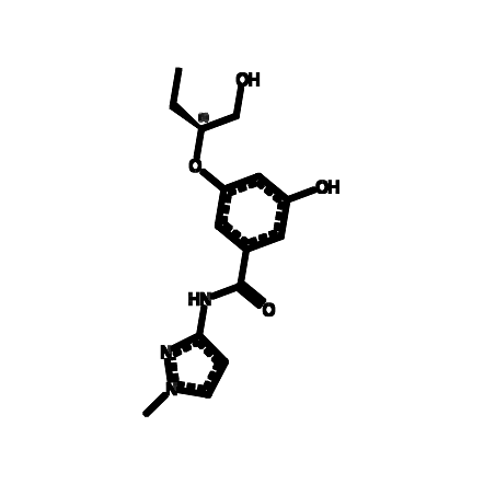 CC[C@@H](CO)Oc1cc(O)cc(C(=O)Nc2ccn(C)n2)c1